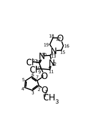 COc1ccccc1OC1(Cl)C=NC(N2CCOCC2)N=C1Cl